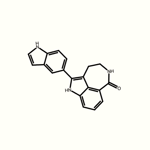 O=C1NCCc2c(-c3ccc4[nH]ccc4c3)[nH]c3cccc1c23